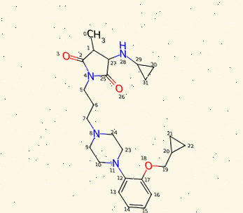 CC1C(=O)N(CCCN2CCN(c3ccccc3OCC3CC3)CC2)C(=O)C1NC1CC1